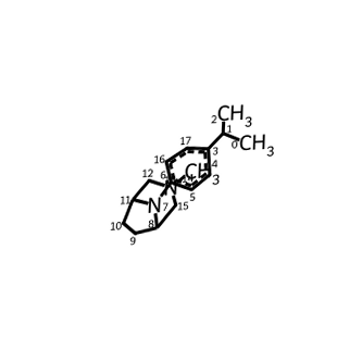 CC(C)c1ccc(N2C3CCC2CN(C)C3)cc1